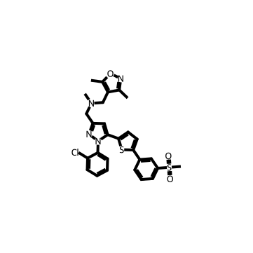 Cc1noc(C)c1CN(C)Cc1cc(-c2ccc(-c3cccc(S(C)(=O)=O)c3)s2)n(-c2ccccc2Cl)n1